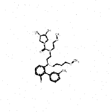 COCCCC[C@@H](CCN(CCOC)C(=O)N1C[C@@H](N)[C@@H](O)C1)c1cccc(F)c1-c1cccc(C)c1